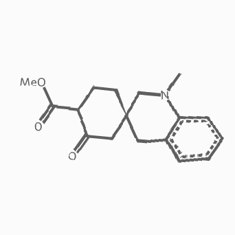 COC(=O)C1CC[C@]2(CC1=O)Cc1ccccc1N(C)C2